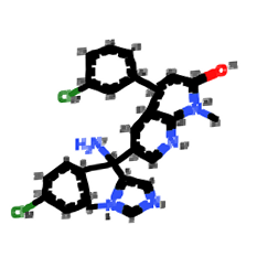 Cn1cncc1C(N)(c1ccc(Cl)cc1)c1cnc2c(c1)c(-c1cccc(Cl)c1)cc(=O)n2C